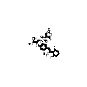 CCn1cc(S(=O)(=O)N2CC([C@H](C)O)Oc3ccc(C=C(C)c4c(F)cccc4Cl)cc32)c(Cl)n1